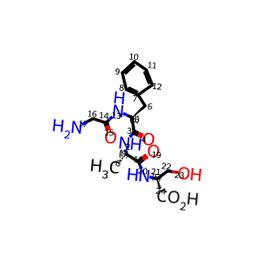 C[C@H](NC(=O)[C@H](Cc1ccccc1)NC(=O)CN)C(=O)N[C@@H](CO)C(=O)O